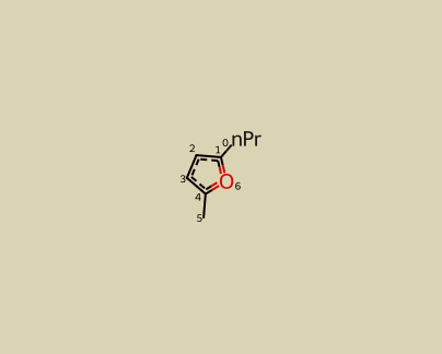 CCCc1ccc(C)o1